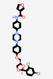 C[C@]1(c2ccc(Cl)cc2Cl)OC[C@@H](COc2ccc(N3CCN(c4ccc(NC(=O)c5ccoc5)cc4)CC3)cc2)O1